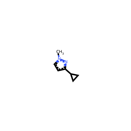 Cn1[c]cc(C2CC2)n1